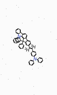 [2H]/C(=C(/[2H])c1ccc2c(c1)C(c1ccccc1)(c1ccccc1)c1c-2ccc2c3ccccc3n(-c3ccccc3)c12)c1ccc(N(c2ccccc2)c2ccccc2)cc1